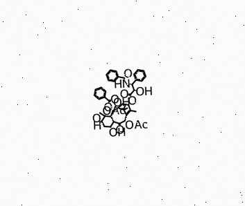 CC(=O)O[C@H]1C(=O)C2C([C@H](OC(=O)c3ccccc3)[C@]3(O)CC(OC(=O)[C@H](O)[C@@H](NC(=O)c4ccccc4)c4ccccc4)C(C)=C1C3(C)C)[C@]1(OC(C)=O)CO[C@@H]1C[C@@H]2O